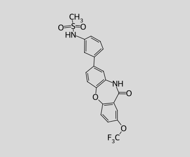 CS(=O)(=O)Nc1cccc(-c2ccc3c(c2)NC(=O)c2cc(OC(F)(F)F)ccc2O3)c1